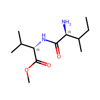 CCC(C)[C@H](N)C(=O)N[C@H](C(=O)OC)C(C)C